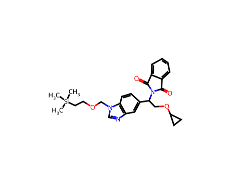 C[Si](C)(C)CCOCn1cnc2cc(C(COC3CC3)N3C(=O)c4ccccc4C3=O)ccc21